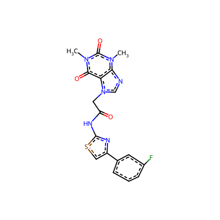 Cn1c(=O)c2c(ncn2CC(=O)Nc2nc(-c3cccc(F)c3)cs2)n(C)c1=O